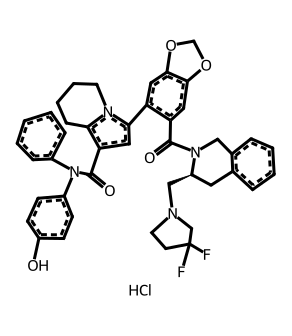 Cl.O=C(c1cc(-c2cc3c(cc2C(=O)N2Cc4ccccc4C[C@H]2CN2CCC(F)(F)C2)OCO3)n2c1CCCC2)N(c1ccccc1)c1ccc(O)cc1